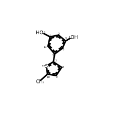 Oc1cc(O)cc(-c2ccc(Cl)s2)c1